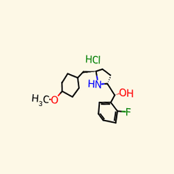 COC1CCC(C[C@H]2CC[C@H]([C@H](O)c3ccccc3F)N2)CC1.Cl